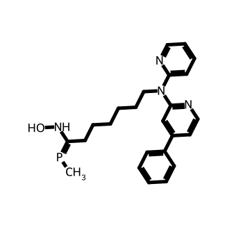 C/P=C(\CCCCCCN(c1ccccn1)c1cc(-c2ccccc2)ccn1)NO